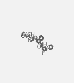 CN(CC1OCCO1)c1nccc(Oc2ccc(NC(=O)c3cc(F)cc(N4CCCCC4)c3)c3ccccc23)n1